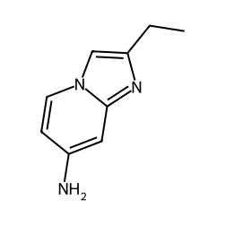 CCc1cn2ccc(N)cc2n1